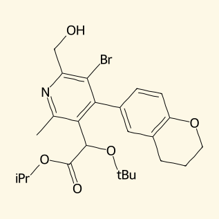 Cc1nc(CO)c(Br)c(-c2ccc3c(c2)CCCO3)c1C(OC(C)(C)C)C(=O)OC(C)C